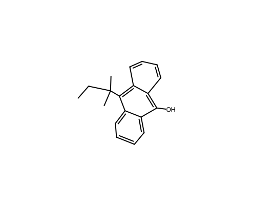 CCC(C)(C)c1c2ccccc2c(O)c2ccccc12